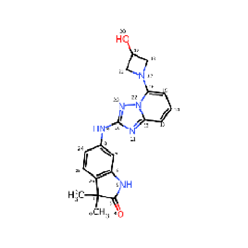 CC1(C)C(=O)Nc2cc(Nc3nc4cccc(N5CC(O)C5)n4n3)ccc21